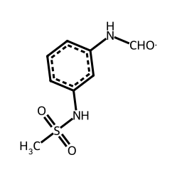 CS(=O)(=O)Nc1cccc(N[C]=O)c1